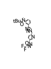 CN(C(=O)C(C)(C)C)c1cccc(-c2cn(Cc3ccc(-c4nnc(C(F)F)o4)cn3)nn2)c1